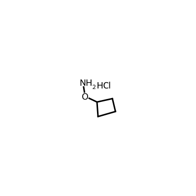 Cl.NOC1CCC1